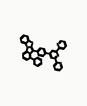 c1ccc(-c2cccc3c2c(-c2ccc(-c4cc(-c5ccccn5)nc(-c5ccccn5)c4)cc2)c2sc4ccccc4n23)cc1